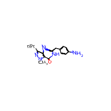 CCCc1nn(C)c2c(=O)[nH]c(Cc3ccc(N)cc3)nc12